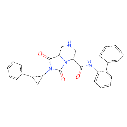 O=C(Nc1ccccc1-c1ccccc1)C1CNCC2C(=O)N(C3CC3c3ccccc3)C(=O)N12